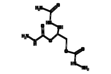 NNC(=O)OCC(NNC(N)=O)OC(=O)NN